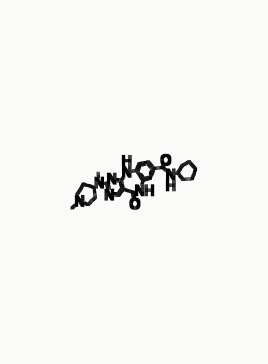 CN1CCC(N(C)c2ncc3c(n2)Nc2ccc(C(=O)NC4CCCCC4)cc2NC3=O)CC1